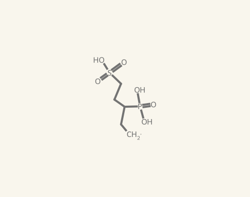 [CH2]CC(CCS(=O)(=O)O)P(=O)(O)O